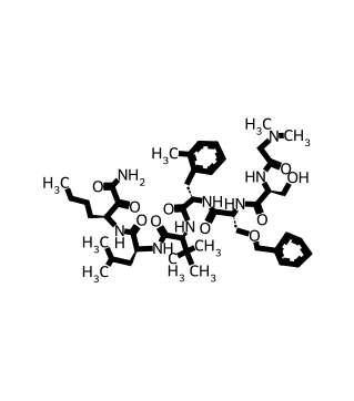 CCCC[C@H](NC(=O)[C@H](CC(C)C)NC(=O)[C@@H](NC(=O)[C@H](Cc1ccccc1C)NC(=O)[C@@H](COCc1ccccc1)NC(=O)[C@H](CO)NC(=O)CN(C)C)C(C)(C)C)C(=O)C(N)=O